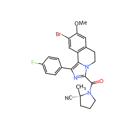 COc1cc2c(cc1Br)-c1c(-c3ccc(F)cc3)nc(C(=O)N3CCC[C@]3(C)C#N)n1CC2